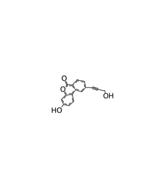 O=c1oc2cc(O)ccc2c2cc(C#CCO)ccc12